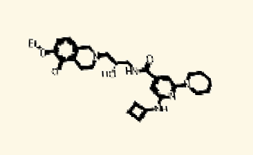 CCOc1ccc2c(c1Cl)CCN(C[C@@H](O)CNC(=O)c1cc(NC3CCC3)nc(N3CCCCC3)c1)C2